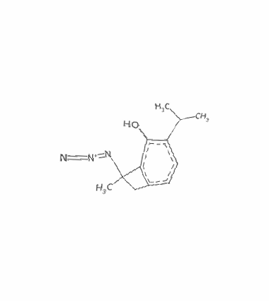 CC(C)c1ccc2c(c1O)C(C)(N=[N+]=[N-])C2